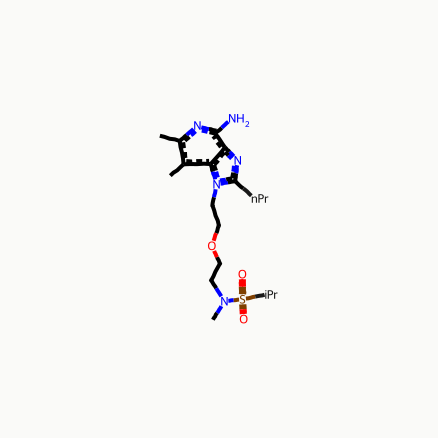 CCCc1nc2c(N)nc(C)c(C)c2n1CCOCCN(C)S(=O)(=O)C(C)C